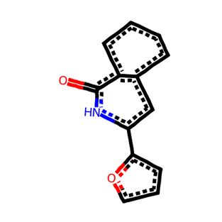 O=c1[nH]c(-c2ccco2)cc2ccccc12